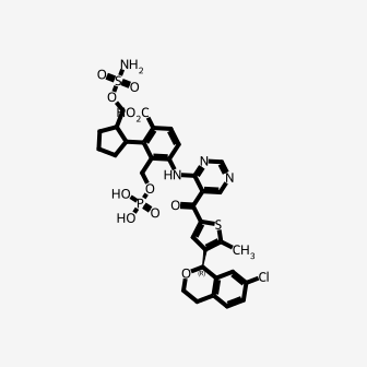 Cc1sc(C(=O)c2cncnc2Nc2ccc(C(=O)O)c(C3CCCC3COS(N)(=O)=O)c2COP(=O)(O)O)cc1[C@@H]1OCCc2ccc(Cl)cc21